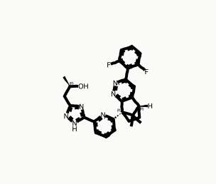 C[C@@H](O)Cc1n[nH]c(-c2cccc([C@]34CC[C@@H](c5cc(-c6c(F)cccc6F)nnc53)C4(C)C)n2)n1